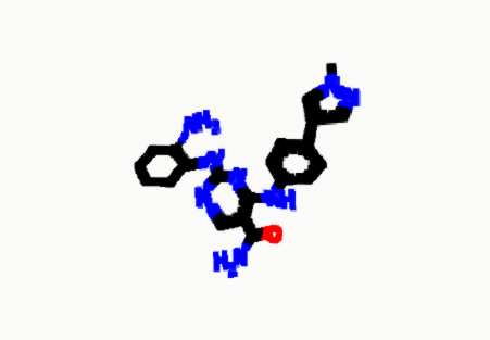 Cn1cc(-c2ccc(Nc3nc(/N=C4\CCCC[C@@H]4N)ncc3C(N)=O)cc2)cn1